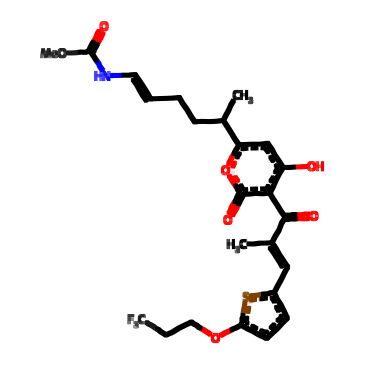 COC(=O)N/C=C/CCC(C)c1cc(O)c(C(=O)/C(C)=C/c2ccc(OCCC(F)(F)F)s2)c(=O)o1